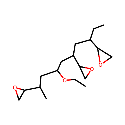 CCOC(CC(C)C1CO1)CC(CC(CC)C1CO1)C1CO1